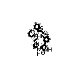 O=C(Nc1cc(-c2cc(Nc3ccn(CCOC4CCCCO4)n3)c(=O)[nH]n2)ccc1F)c1cc2c(s1)CCCC2